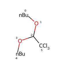 CCCCOC(OCCCC)C(Cl)(Cl)Cl